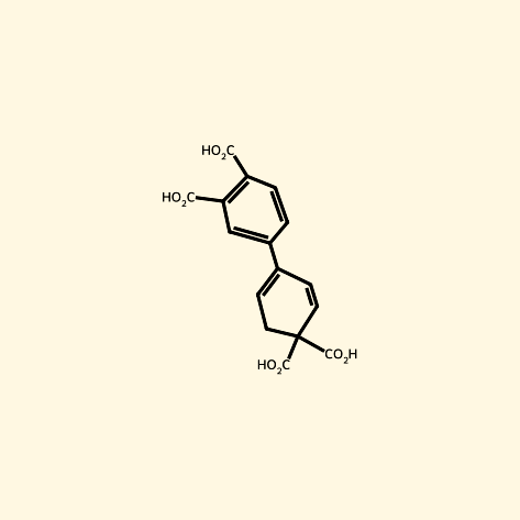 O=C(O)c1ccc(C2=CCC(C(=O)O)(C(=O)O)C=C2)cc1C(=O)O